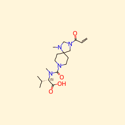 C=CC(=O)N1CN(C)C2(CCN(C(=O)N(C)[C@H](C(=O)O)C(C)C)CC2)C1